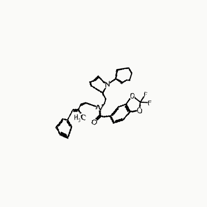 C/C(=C\c1ccccc1)CN(CC1CCCN1C1CCCCC1)C(=O)c1ccc2c(c1)OC(F)(F)O2